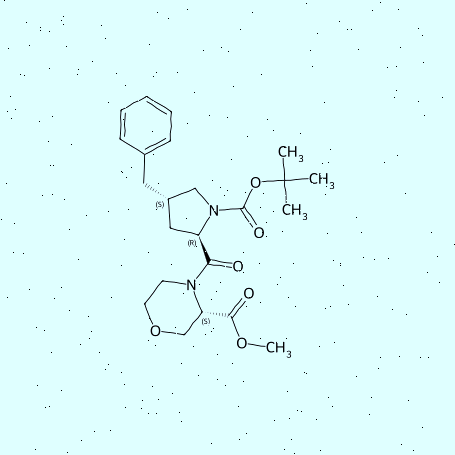 COC(=O)[C@@H]1COCCN1C(=O)[C@H]1C[C@H](Cc2ccccc2)CN1C(=O)OC(C)(C)C